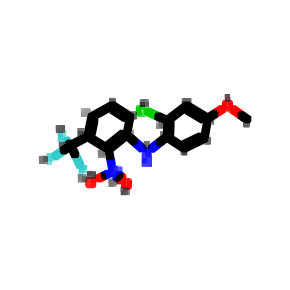 COc1ccc(Nc2cccc(C(F)(F)F)c2[N+](=O)[O-])c(Cl)c1